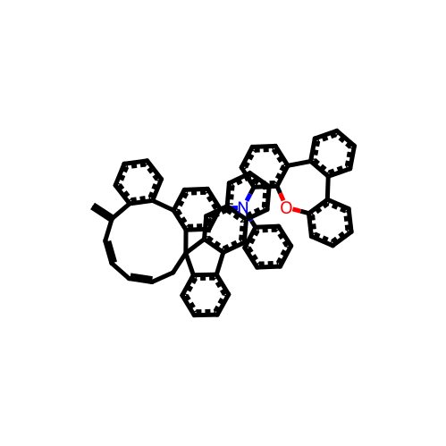 C=C1/C=C\C=C/CC2(c3cc(N(c4ccccc4)c4cccc5c4Oc4ccccc4-c4ccccc4-5)ccc3-c3ccccc31)c1ccccc1-c1cc3ccccc3cc12